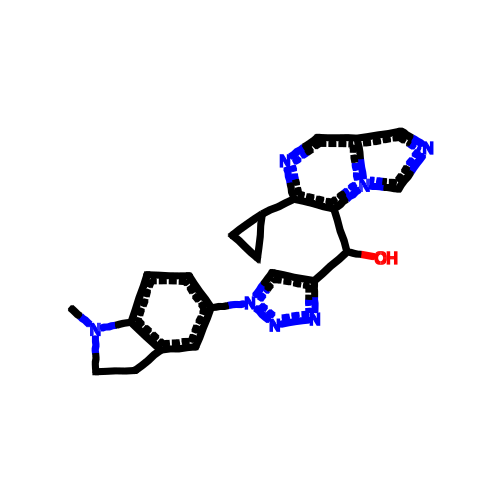 CN1CCc2cc(-n3cc(C(O)c4c(C5CC5)ncc5cncn45)nn3)ccc21